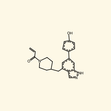 C=CC(=O)N1CCC(Cc2cc(-c3ccc(O)cc3)cc3[nH]ncc23)CC1